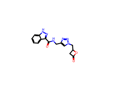 O=C1CC(Cn2cc(CNC(=O)c3n[nH]c4ccccc34)nn2)O1